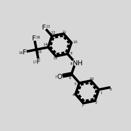 Cc1cccc(C(=O)Nc2ccc(F)c(C(F)(F)F)c2)c1